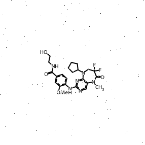 COc1cc(C(=O)NCCO)ccc1Nc1ncc2c(n1)N(C1CCCC1)CC(F)(F)C(=O)N2C